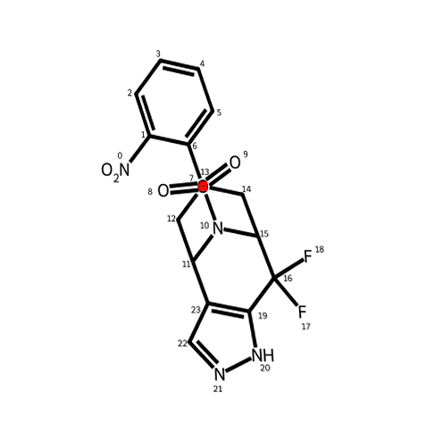 O=[N+]([O-])c1ccccc1S(=O)(=O)N1C2COCC1C(F)(F)c1[nH]ncc12